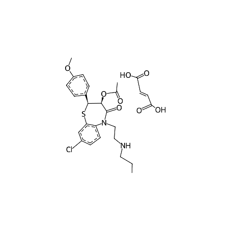 CCCNCCN1C(=O)[C@H](OC(C)=O)[C@H](c2ccc(OC)cc2)Sc2cc(Cl)ccc21.O=C(O)C=CC(=O)O